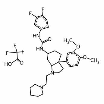 COc1ccc(C23CCC(NC(=O)Nc4ccc(F)c(F)c4)CC2N(CCN2CCCCC2)CC3)cc1OC.O=C(O)C(F)(F)F